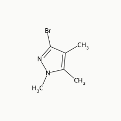 Cc1c(Br)nn(C)c1C